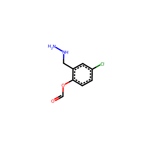 NNCc1cc(Cl)ccc1OC=O